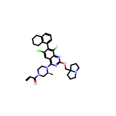 C=CC(=O)N1CCN(c2nc(OCC34CCCN3CCC4)nc3c(F)c(-c4cccc5c4CCCC5)c(Cl)cc23)[C@@H](C)C1